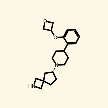 c1ccc(C2CCN([C@@H]3CCC4(CNC4)C3)CC2)c(OC2COC2)c1